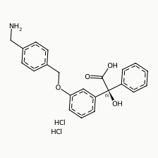 Cl.Cl.NCc1ccc(COc2cccc([C@](O)(C(=O)O)c3ccccc3)c2)cc1